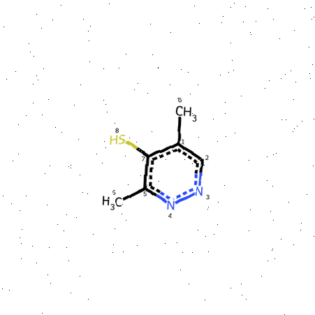 Cc1cnnc(C)c1S